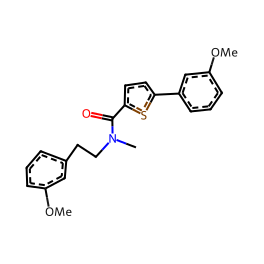 COc1cccc(CCN(C)C(=O)c2ccc(-c3cccc(OC)c3)s2)c1